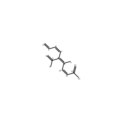 C=C\C=C/C(C(=C)C)=C(C)/C=C\C(=C)C